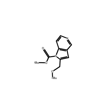 CCCCOCc1cc2cnccc2n1C(=O)OC(C)(C)C